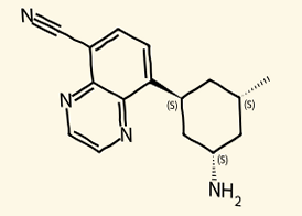 C[C@@H]1C[C@H](N)C[C@@H](c2ccc(C#N)c3nccnc23)C1